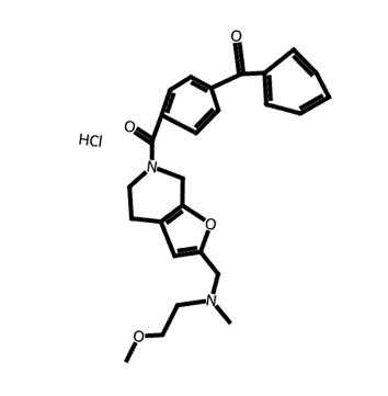 COCCN(C)Cc1cc2c(o1)CN(C(=O)c1ccc(C(=O)c3ccccc3)cc1)CC2.Cl